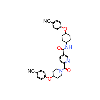 N#Cc1ccc(OC2CCC(NC(=O)c3ccc(C(=O)N4CCC(Oc5ccc(C#N)cc5)CC4)nc3)CC2)cc1